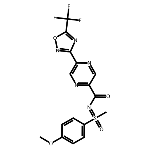 COc1ccc(S(C)(=O)=NC(=O)c2cnc(-c3noc(C(F)(F)F)n3)cn2)cc1